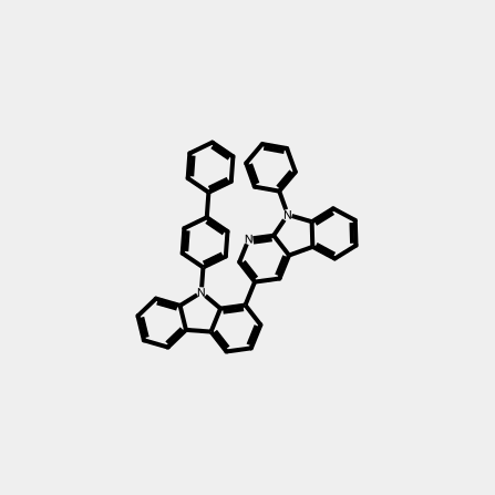 c1ccc(-c2ccc(-n3c4ccccc4c4cccc(-c5cnc6c(c5)c5ccccc5n6-c5ccccc5)c43)cc2)cc1